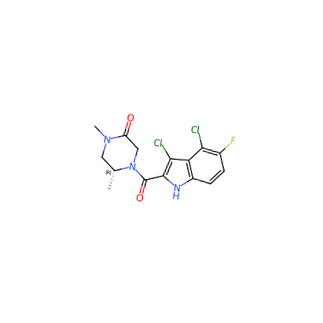 C[C@@H]1CN(C)C(=O)CN1C(=O)c1[nH]c2ccc(F)c(Cl)c2c1Cl